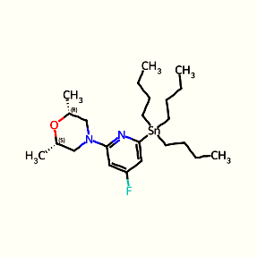 CCC[CH2][Sn]([CH2]CCC)([CH2]CCC)[c]1cc(F)cc(N2C[C@@H](C)O[C@@H](C)C2)n1